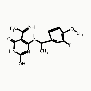 CC(Nc1nc(O)[nH]c(=O)c1C(=N)C(F)(F)F)c1ccc(OC(F)(F)F)c(F)c1